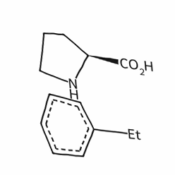 CCc1ccccc1.O=C(O)[C@@H]1CCCN1